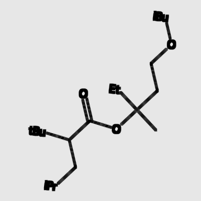 CCC(C)OCCC(C)(CC)OC(=O)C(CC(C)C)C(C)(C)C